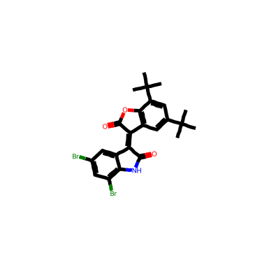 CC(C)(C)c1cc2c(c(C(C)(C)C)c1)OC(=O)C2=C1C(=O)Nc2c(Br)cc(Br)cc21